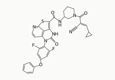 N#CC(=CC1CC1)C(=O)N1CCCC(NC(=O)c2sc3nccc4c3c2NC(=O)N4c2c(F)cc(Oc3ccccc3)cc2F)C1